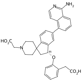 Nc1nccc2c(-c3ccc4c(c3)[C@H](Oc3ccccc3CC(=O)O)CC43CCN(CC(=O)O)CC3)cccc12